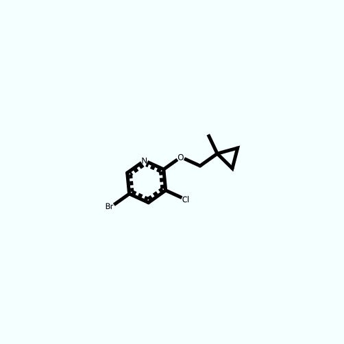 CC1(COc2ncc(Br)cc2Cl)CC1